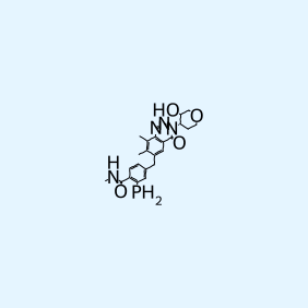 CNC(=O)c1ccc(Cc2cc3c(=O)n([C@H]4CCOC[C@@H]4O)nnc3c(C)c2C)cc1P